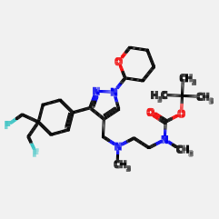 CN(CCN(C)C(=O)OC(C)(C)C)Cc1cn(C2CCCCO2)nc1C1=CCC(CF)(CF)CC1